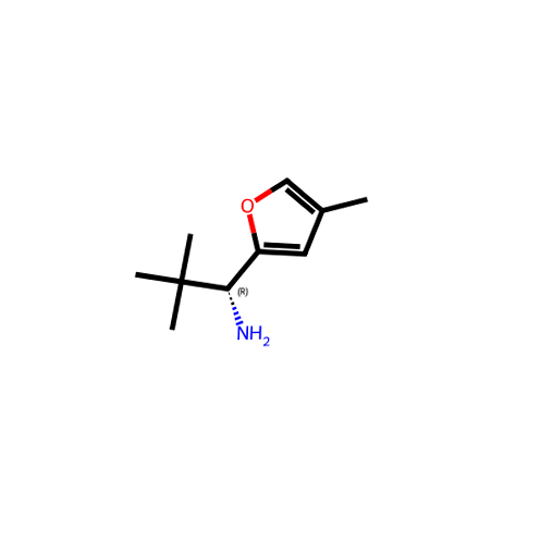 Cc1coc([C@H](N)C(C)(C)C)c1